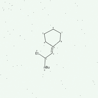 CCCCC(C=C1CCCCC1)CC